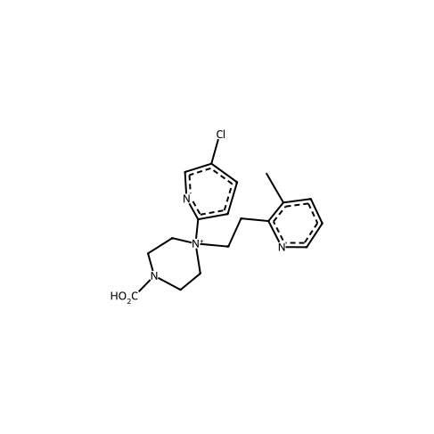 Cc1cccnc1CC[N+]1(c2ccc(Cl)cn2)CCN(C(=O)O)CC1